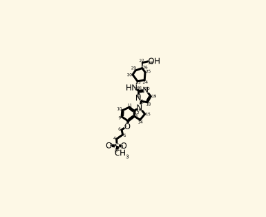 CS(=O)(=O)CCCOc1cccc2c1CCN2c1ccnc(N[C@H]2CC[C@H](CO)CC2)n1